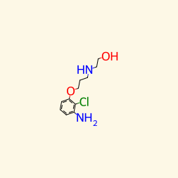 Nc1cccc(OCCCNCCO)c1Cl